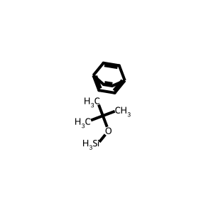 CC(C)(C)O[SiH3].c1cc2ccc1cc2